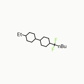 CCCCC(F)(F)C1CCC(C2CCC(CC)CC2)CC1